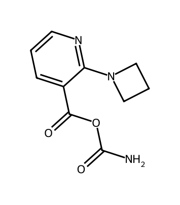 NC(=O)OC(=O)c1cccnc1N1CCC1